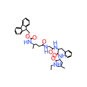 CCNC(=O)C(CC(C)C)NC(=O)C(Cc1ccccc1)NC(=O)CNC(=O)CCC(C)NC(=O)OCC1c2ccccc2-c2ccccc21